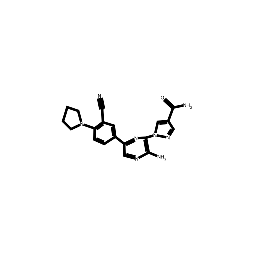 N#Cc1cc(-c2cnc(N)c(-n3cc(C(N)=O)cn3)n2)ccc1N1CCCC1